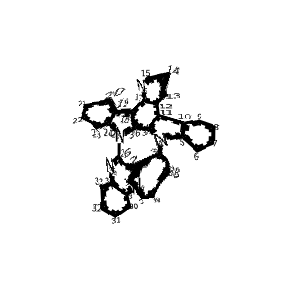 c1ccc(-n2c3ccccc3c3c4cccnc4c4c5ccccc5n(-c5cnc6ccccc6n5)c4c32)cc1